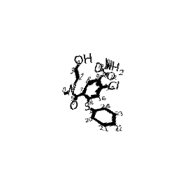 CN(CCO)C(=O)c1cc(S(N)(=O)=O)c(Cl)cc1SC1CCCCC1